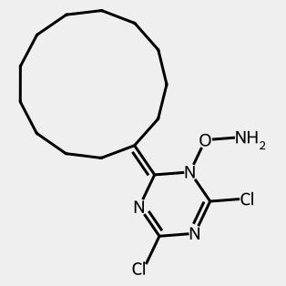 NON1C(Cl)=NC(Cl)=NC1=C1CCCCCCCCCCCC1